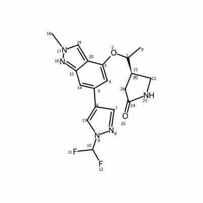 CC(Oc1cc(-c2cnn(C(F)F)c2)cc2nn(C)cc12)[C@H]1CNC(=O)C1